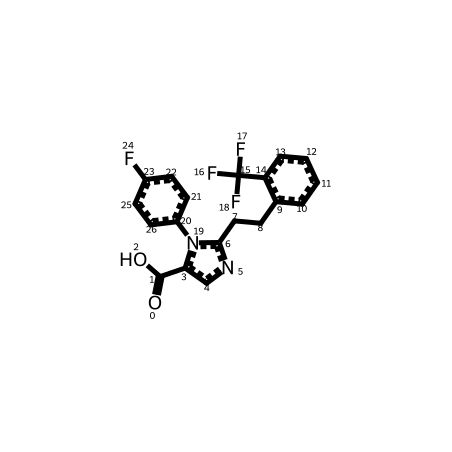 O=C(O)c1cnc(CCc2ccccc2C(F)(F)F)n1-c1ccc(F)cc1